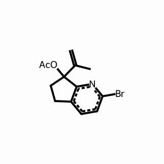 C=C(C)C1(OC(C)=O)CCc2ccc(Br)nc21